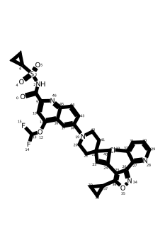 O=C(NS(=O)(=O)C1CC1)c1cc(OC(F)F)c2cc(N3CCC4(C=C(c5c(-c6ncccc6Cl)noc5C5CC5)C4)CC3)ccc2n1